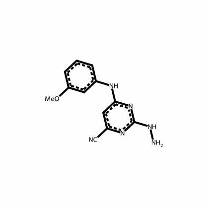 COc1cccc(Nc2cc(C#N)nc(NN)n2)c1